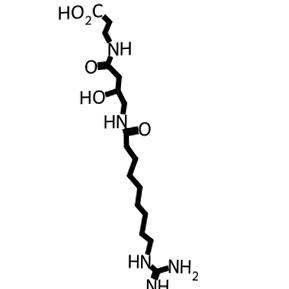 N=C(N)NCCCCCCCCC(=O)NCC(O)CC(=O)NCCC(=O)O